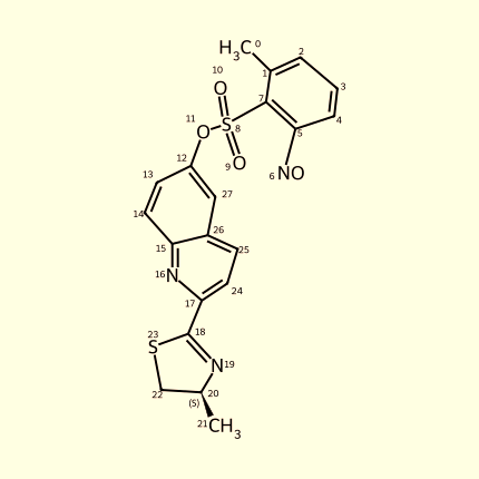 Cc1cccc(N=O)c1S(=O)(=O)Oc1ccc2nc(C3=N[C@@H](C)CS3)ccc2c1